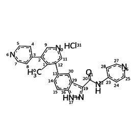 Cc1c(-c2ccncc2)cncc1-c1ccc2[nH]nc(C(=O)Nc3ccncc3)c2c1.Cl